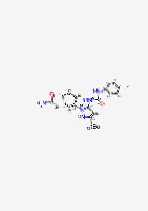 Cc1ccc(NC(=O)Nc2cc(C(C)(C)C)nn2-c2cccc(CC(N)=O)c2)cc1